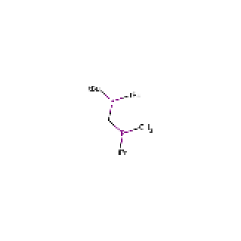 CC(C)P(C)CP(C(C)(C)C)C(C)(C)C